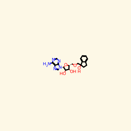 Nc1ncnc2c1ncn2[C@@H]1O[C@H](COCC2(O)CCc3ccccc32)[C@@H](O)[C@H]1O